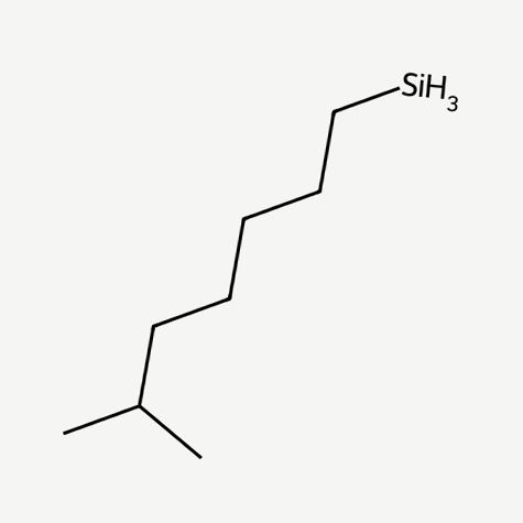 CC(C)CCCCC[SiH3]